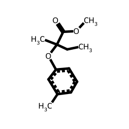 CCC(C)(Oc1cccc(C)c1)C(=O)OC